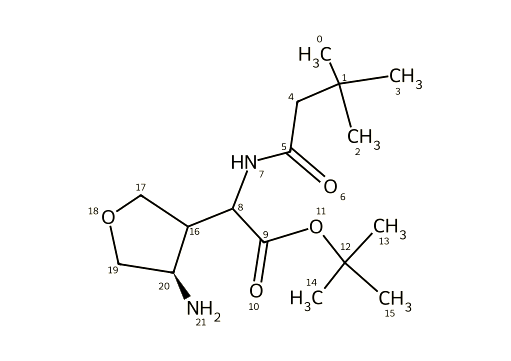 CC(C)(C)CC(=O)NC(C(=O)OC(C)(C)C)C1COC[C@@H]1N